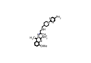 C=C1c2cccc(OC)c2N=C(N)N1/N=C(\C)CNCC1CCN(c2ncc(P)cn2)CC1